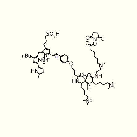 CCCCc1cc(-c2ccc(C)[nH]2)n2c1C=C1C(CCCS(=O)(=O)O)=CC(/C=C/c3ccc(OCCCC(=O)NC(CCCC[N+](C)(C)C)C(=O)NC(CCCC[N+](C)(C)C)C(=O)NCCN(C)CCCCCC(=O)ON4C(=O)CCC4=O)cc3)=[N+]1[B-]2(F)F